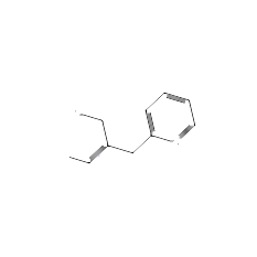 NC/C(=C\F)Cc1ccccn1